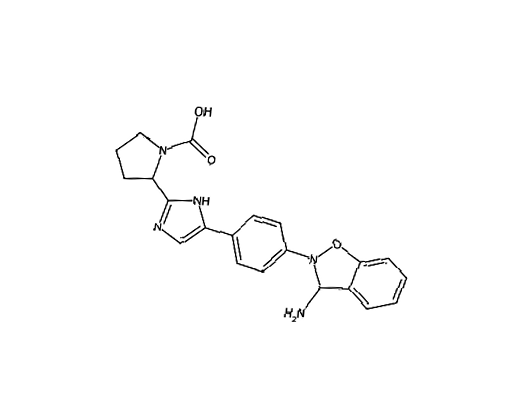 NC1c2ccccc2ON1c1ccc(-c2cnc(C3CCCN3C(=O)O)[nH]2)cc1